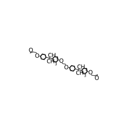 CC(C)(c1ccc(OCCOc2ccc(C(C)(C)c3ccc(OCC4CO4)cc3)cc2)cc1)c1ccc(OCC2CO2)cc1